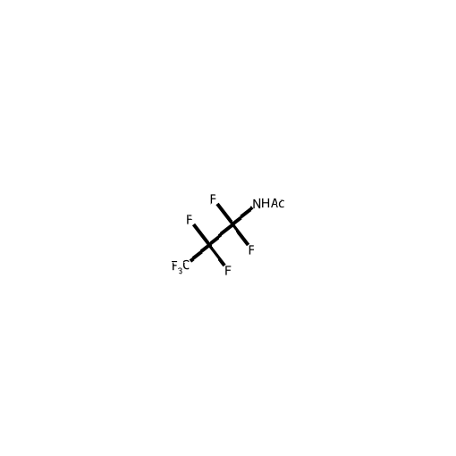 [CH2]C(=O)NC(F)(F)C(F)(F)C(F)(F)F